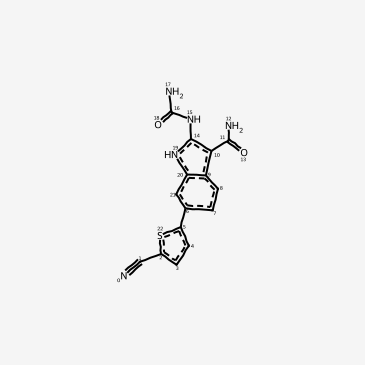 N#Cc1ccc(-c2ccc3c(C(N)=O)c(NC(N)=O)[nH]c3c2)s1